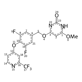 COc1cc(OCc2cc(F)c(Oc3ccnc(C(F)(F)F)c3)c(F)c2)nc(=O)[nH]1